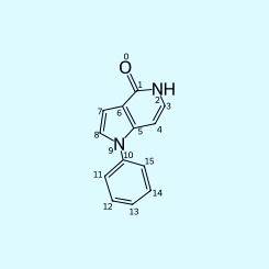 O=c1[nH]ccc2c1ccn2-c1ccccc1